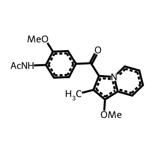 COc1cc(C(=O)c2c(C)c(OC)c3ccccn23)ccc1NC(C)=O